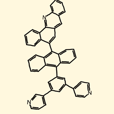 c1cncc(-c2cc(-c3ccncc3)cc(-c3c4ccccc4c(-c4cc5cc6ccccc6nc5c5ccccc45)c4ccccc34)c2)c1